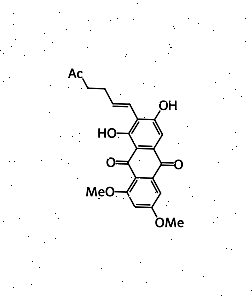 COc1cc(OC)c2c(c1)C(=O)c1cc(O)c(C=CCCC(C)=O)c(O)c1C2=O